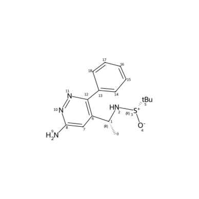 C[C@@H](N[S@@+]([O-])C(C)(C)C)c1cc(N)nnc1-c1ccccc1